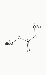 C=C(COCC(C)C)COCC(C)C